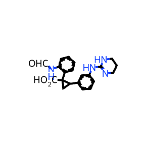 O=CNc1ccccc1C1(C(=O)O)CC1c1cccc(NC2=NCCCN2)c1